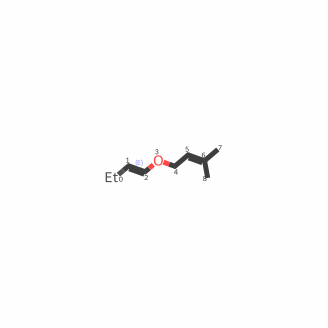 CC/C=C/OCC=C(C)C